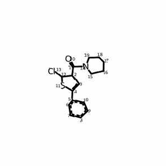 O=C(C1C=C(c2ccccc2)SC1Cl)N1CCCCC1